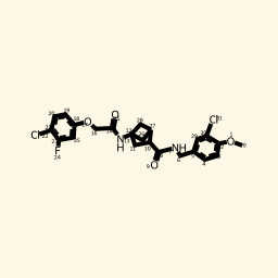 COc1ccc(CNC(=O)C2CC3(NC(=O)COc4ccc(Cl)c(F)c4)CC2C3)cc1Cl